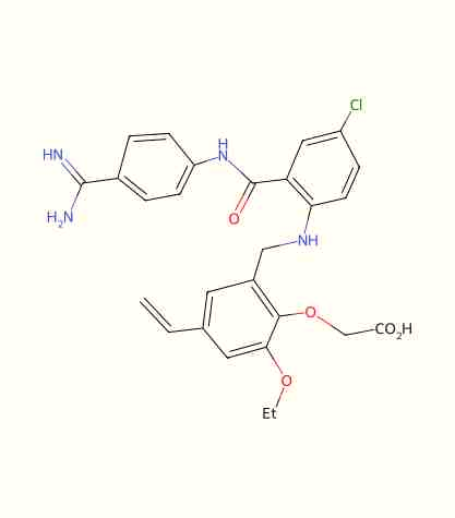 C=Cc1cc(CNc2ccc(Cl)cc2C(=O)Nc2ccc(C(=N)N)cc2)c(OCC(=O)O)c(OCC)c1